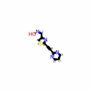 O/N=C\c1csc(C#Cc2ncccn2)n1